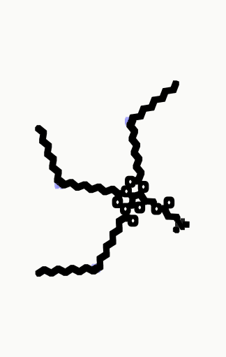 CCCCCCCC/C=C\CCCCCCCC(=O)OC1OC(COC(=O)CCN(C)C)C(OC(=O)CCCCCCC/C=C\CCCCCCCC)C1OC(=O)CCCCCCC/C=C\CCCCCCCC